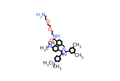 Cc1cc(C)cc(-c2nc(-c3ccc(N(C)C)cc3)c(-c3ccc(N(C)C)cc3)n2Cc2ccc(C(=O)NCCOCCOCCN)cc2)c1